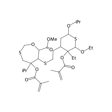 C=C(C)C(=O)OC1(CC)C(CCSC2C(C(=O)OC)OCSCC2(OC(=O)C(=C)C)C(C)C)CC(OC(C)C)SC1OCC